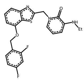 CCNc1cccn(Cc2nc3cccc(OCc4ccc(F)cc4F)c3s2)c1=O